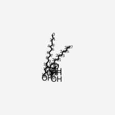 CCCCCCCCCCCC(CC(O)CO)C(CCCCCCCCCC)(CC(O)CO)C(=O)O